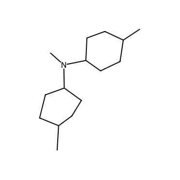 CC1CCC(N(C)C2CCC(C)CC2)CC1